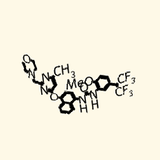 COc1ccc(C(C(F)(F)F)C(F)(F)F)cc1NC(=O)Nc1ccc(Oc2cc(C)nc(CN3CCOCC3)n2)c2ccccc12